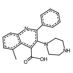 Cc1cccc2nc(-c3ccccc3)c(N3CCNCC3)c(C(=O)O)c12